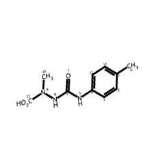 Cc1ccc(NC(=O)NN(C)C(=O)O)cc1